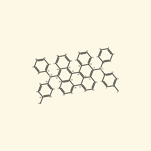 Cc1ccc(N(c2ccccc2)c2c3ccccc3c3c4c2cccc4c2cccc4c(N(c5ccccc5)c5ccc(C)cc5)c5ccccc5c3c42)cc1